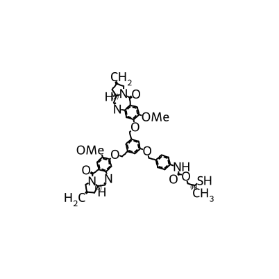 C=C1C[C@H]2C=Nc3cc(OCc4cc(COc5cc6c(cc5OC)C(=O)N5CC(=C)C[C@H]5C=N6)cc(OCc5ccc(NC(=O)OC[C@@H](C)S)cc5)c4)c(OC)cc3C(=O)N2C1